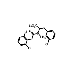 CCOC(=O)C(Cc1cccc(Cl)c1)N(C)C(=O)Cc1c(Cl)cccc1Cl